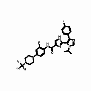 [2H]C([2H])([2H])N1CCN(c2ccc(NC(=O)c3c[nH]c(-c4c(-c5ccc(F)cc5)ncn4C(C)C)n3)c(F)c2)CC1